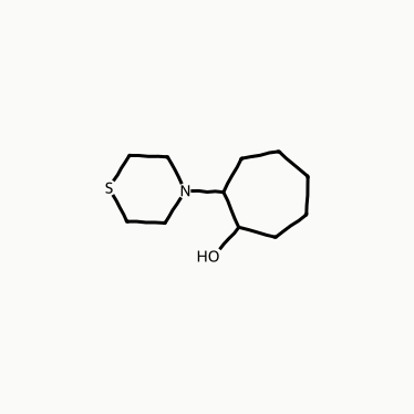 OC1CCCCCC1N1CCSCC1